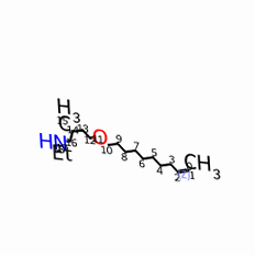 C/C=C\CCCCCCCCOCCC(C)CNCC